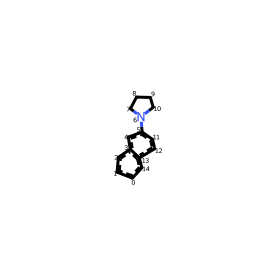 c1ccc2cc(N3CCCC3)ccc2c1